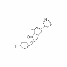 Cc1cc(-c2cccnc2)cc2c1C(=O)N([C@H](C)c1ccc(F)cc1)C2